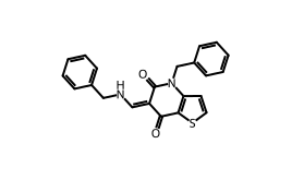 O=C1C(=CNCc2ccccc2)C(=O)N(Cc2ccccc2)c2ccsc21